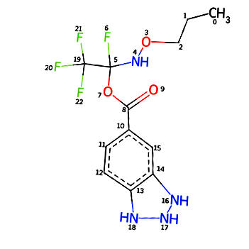 CCCONC(F)(OC(=O)c1ccc2c(c1)NNN2)C(F)(F)F